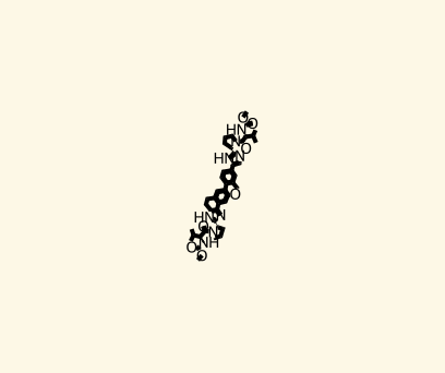 COC(=O)NC(C(=O)N1CCC[C@H]1c1ncc(-c2ccc3c(c2)COc2cc4c(cc2-3)CCc2[nH]c([C@@H]3CCCN3C(=O)[C@@H](NC(=O)OC)C(C)C)nc2-4)[nH]1)C(C)C